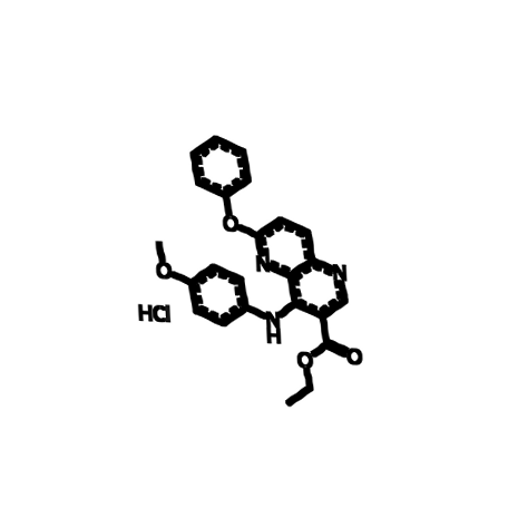 CCOC(=O)c1cnc2ccc(Oc3ccccc3)nc2c1Nc1ccc(OC)cc1.Cl